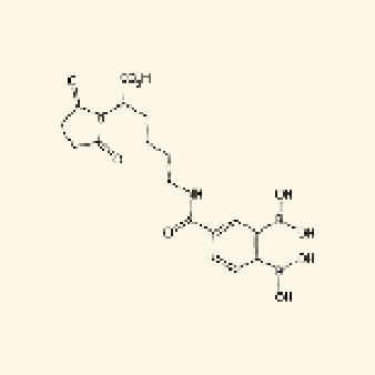 O=C(NCCCCC(C(=O)O)N1C(=O)CCC1=O)c1ccc(B(O)O)c(B(O)O)c1